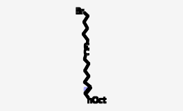 CCCCCCCC/C=C/CCCCCCCCCCCCBr